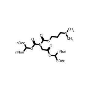 CCCCCCCCCCC(CCCCCCCCC)OC(=O)CN(C(=O)OC(CCCCCCCCC)CCCCCCCCCC)C(=O)SCCCN(C)C